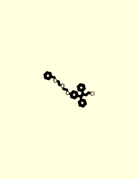 ClCC/C(=C(\c1ccccc1)c1ccc(OCCOCCOCc2ccccc2)cc1)c1ccccc1